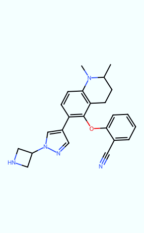 CC1CCc2c(ccc(-c3cnn(C4CNC4)c3)c2Oc2ccccc2C#N)N1C